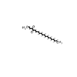 [CH2]CCC(=O)C(=O)CCCCCCCCCCCCCCCC